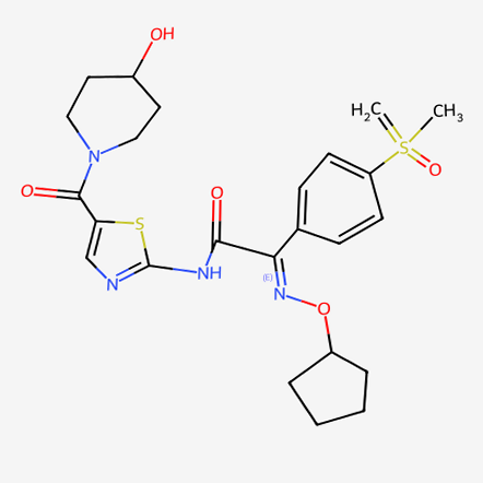 C=S(C)(=O)c1ccc(/C(=N\OC2CCCC2)C(=O)Nc2ncc(C(=O)N3CCC(O)CC3)s2)cc1